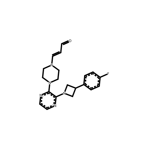 O=CC=CN1CCN(c2nccnc2N2CC(c3ccc(F)cc3)C2)CC1